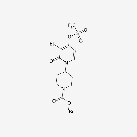 CCc1c(OS(=O)(=O)C(F)(F)F)ccn(C2CCN(C(=O)OC(C)(C)C)CC2)c1=O